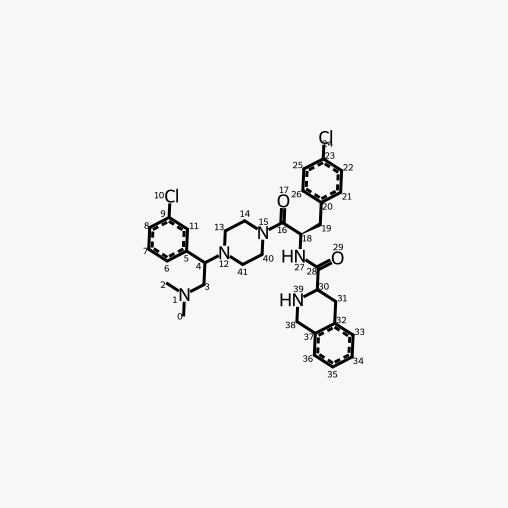 CN(C)CC(c1cccc(Cl)c1)N1CCN(C(=O)[C@@H](Cc2ccc(Cl)cc2)NC(=O)C2Cc3ccccc3CN2)CC1